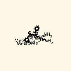 COc1cc(CNC(=O)[C@H](CCc2ccccc2)NC(=O)[C@@H](N)CC(=O)N(CCN)CCN)cc(OC)c1OC